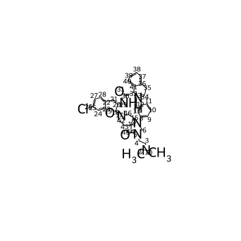 CN(C)CCN1CN(c2ccccc2)C2(CCN(C(=O)[C@@H](Cc3ccc(Cl)cc3)NC(=O)[C@@H]3NCCc4ccccc43)CC2)C1=O